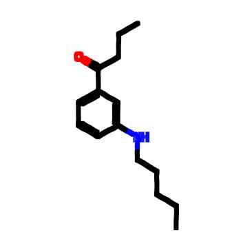 CCCCCNc1cccc(C(=O)CCC)c1